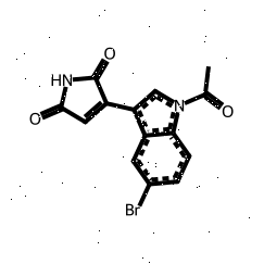 CC(=O)n1cc(C2=CC(=O)NC2=O)c2cc(Br)ccc21